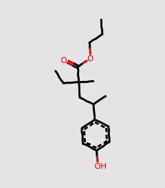 CCCOC(=O)C(C)(CC)CC(C)c1ccc(O)cc1